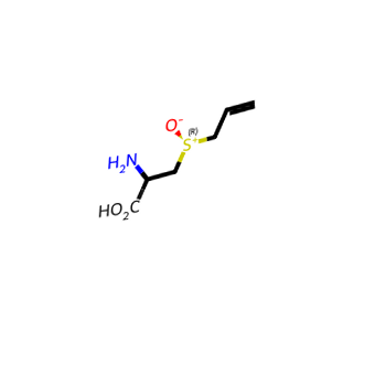 C=CC[S@+]([O-])CC(N)C(=O)O